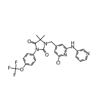 CC1(C)C(=O)N(c2ccc(OC(F)(F)F)cc2)C(=O)N1Cc1cc(Cl)nc(Nc2cccnc2)c1